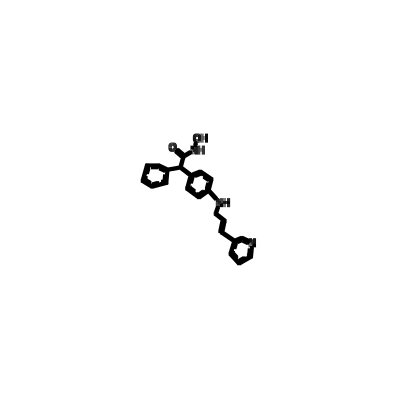 O=C(NO)C(c1ccccc1)c1ccc(NC/C=C/c2cccnc2)cc1